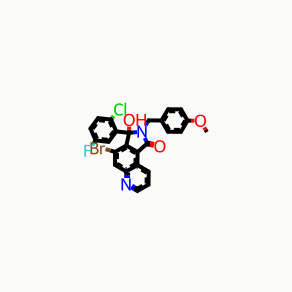 COc1ccc(CN2C(=O)c3c(c(Br)cc4ncccc34)C2(O)c2cc(F)ccc2Cl)cc1